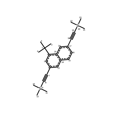 CC(C)(C)c1cc(C#C[Si](C)(C)C)cc2ccc(C#C[Si](C)(C)C)cc12